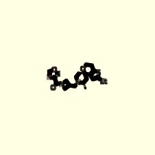 CCc1cc2c(s1)CCO[C@@]21CCN(CC2CN(C(=O)c3ncon3)C2)[C@@H](C)C1